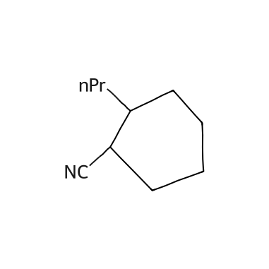 CCCC1CCCCC1C#N